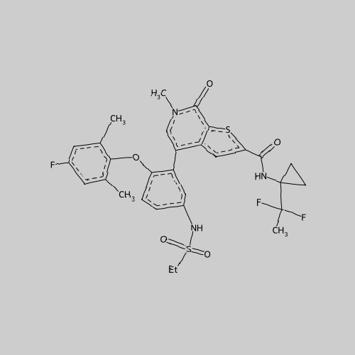 CCS(=O)(=O)Nc1ccc(Oc2c(C)cc(F)cc2C)c(-c2cn(C)c(=O)c3sc(C(=O)NC4(C(C)(F)F)CC4)cc23)c1